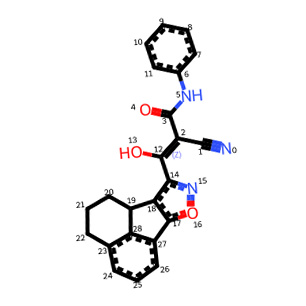 N#C/C(C(=O)Nc1ccccc1)=C(/O)c1noc2c1C1CCCc3cccc-2c31